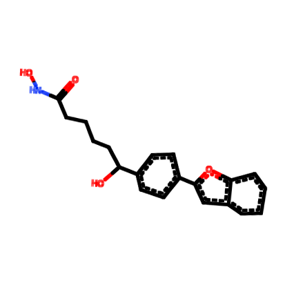 O=C(CCCCC(O)c1ccc(-c2cc3ccccc3o2)cc1)NO